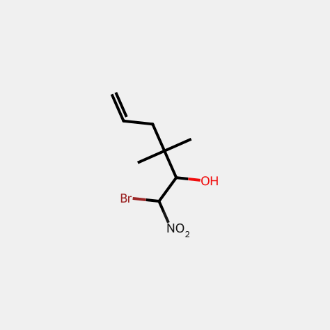 C=CCC(C)(C)C(O)C(Br)[N+](=O)[O-]